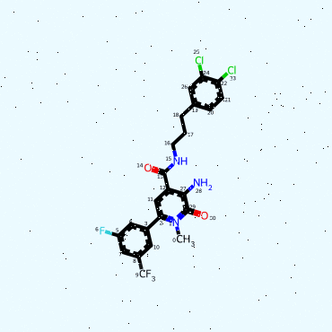 Cn1c(-c2cc(F)cc(C(F)(F)F)c2)cc(C(=O)NCCCc2ccc(Cl)c(Cl)c2)c(N)c1=O